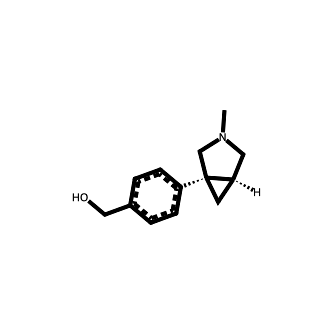 CN1C[C@H]2C[C@@]2(c2ccc(CO)cc2)C1